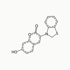 O=c1oc2cc(O)ccc2cc1N1CSc2ccccc21